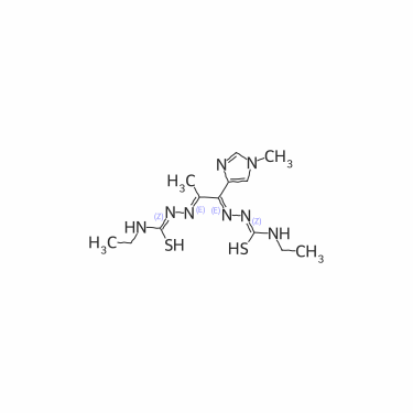 CCN/C(S)=N/N=C(C)/C(=N/N=C(\S)NCC)c1cn(C)cn1